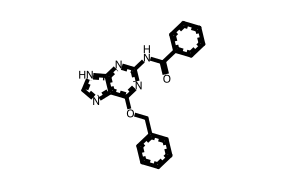 O=C(Nc1nc(OCc2ccccc2)c2nc[nH]c2n1)c1ccccc1